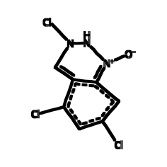 [O-][N+]1=c2cc(Cl)cc(Cl)c2=CN(Cl)N1